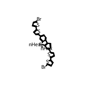 CCCCCC[Si]1(CCCCCC)c2cc(-c3ccc(-c4ccc(Br)s4)s3)ccc2-c2ccc(-c3ccc(-c4ccc(Br)s4)s3)cc21